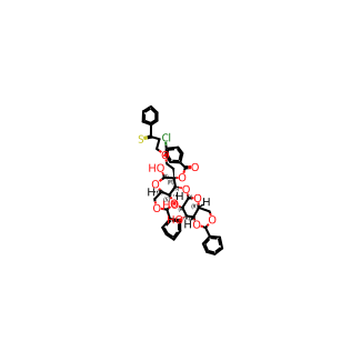 O=C(O[C@@]1(CCOCCC(=S)c2ccccc2)[C@H](O)O[C@@H]2COC(c3ccccc3)O[C@@H]2[C@@H]1O[C@H]1O[C@@H]2COC(c3ccccc3)O[C@@H]2[C@H](O)[C@H]1O)c1ccc(Cl)cc1